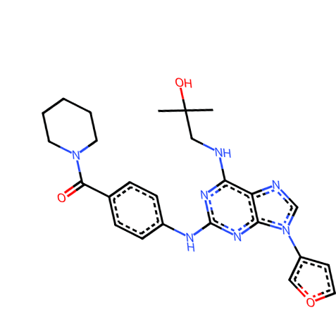 CC(C)(O)CNc1nc(Nc2ccc(C(=O)N3CCCCC3)cc2)nc2c1ncn2-c1ccoc1